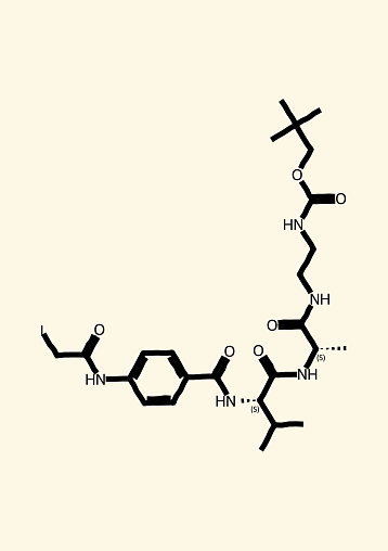 CC(C)[C@H](NC(=O)c1ccc(NC(=O)CI)cc1)C(=O)N[C@@H](C)C(=O)NCCNC(=O)OCC(C)(C)C